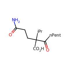 CCCCCC(=O)C(CCC(N)=O)(C(=O)O)C(C)C